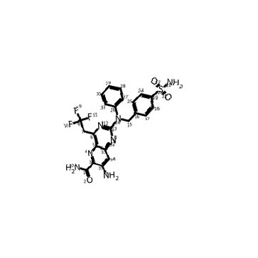 NC(=O)c1nc2c(CC(F)(F)F)nc(N(Cc3ccc(S(N)(=O)=O)cc3)c3ccccc3)nc2cc1N